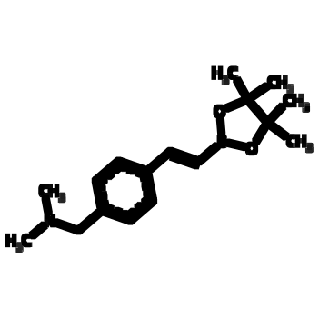 CN(C)Cc1ccc(C=CB2OC(C)(C)C(C)(C)O2)cc1